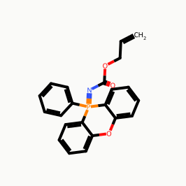 C=CCOC(=O)N=P1(c2ccccc2)c2ccccc2Oc2ccccc21